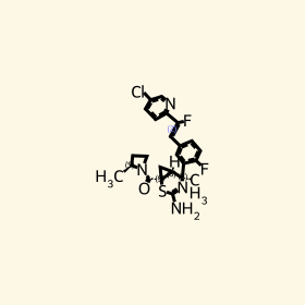 C[C@H]1CCN1C(=O)[C@]12C[C@H]1[C@@](C)(c1cc(/C=C(\F)c3ccc(Cl)cn3)ccc1F)N=C(N)S2